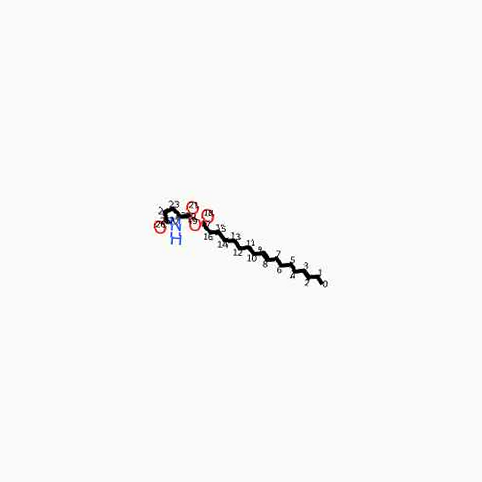 CCCCCCCCC=CCCCCCCCC(=O)OC(=O)C1CCC(=O)N1